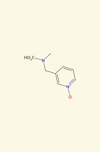 CN(Cc1ccc[n+]([O-])c1)C(=O)O